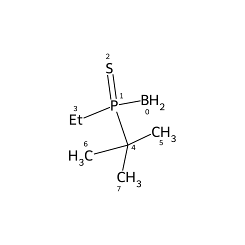 BP(=S)(CC)C(C)(C)C